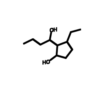 CCCC(O)C1C(O)CCC1CC